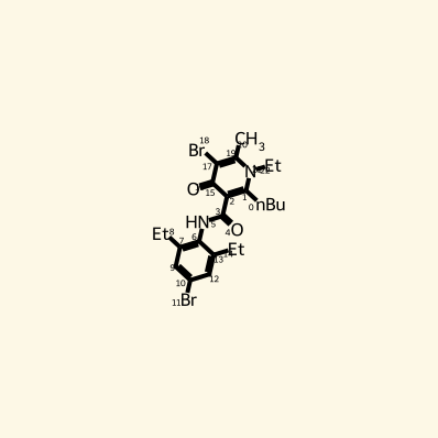 CCCCc1c(C(=O)Nc2c(CC)cc(Br)cc2CC)c(=O)c(Br)c(C)n1CC